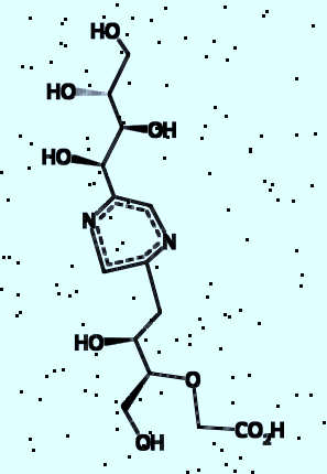 O=C(O)CO[C@@H](CO)[C@@H](O)Cc1cnc([C@@H](O)[C@H](O)[C@H](O)CO)cn1